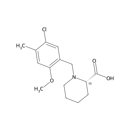 COc1cc(C)c(Cl)cc1CN1CCCC[C@H]1C(=O)O